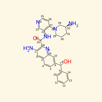 Nc1cc2ccc(C(O)c3ccccc3)cc2nc1C(=O)Nc1cnccc1N1CCC[C@H](N)C1